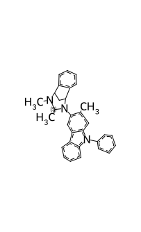 Cc1cc2c(cc1N1C3CC(c4ccccc43)N(C)[C@@H]1C)c1ccccc1n2-c1ccccc1